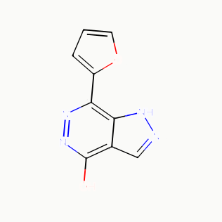 Oc1nnc(-c2ccco2)c2[nH]ncc12